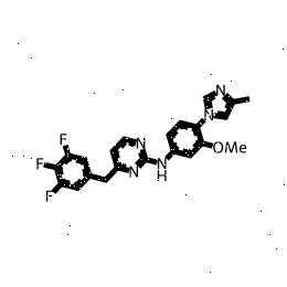 COc1cc(Nc2nccc(Cc3cc(F)c(F)c(F)c3)n2)ccc1-n1cnc(C)c1